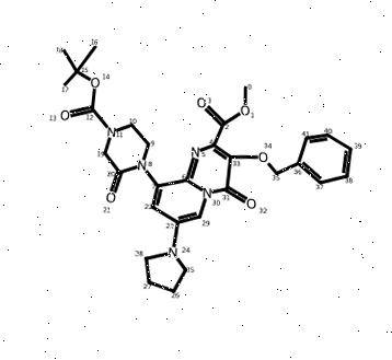 COC(=O)c1nc2c(N3CCN(C(=O)OC(C)(C)C)CC3=O)cc(N3CCCC3)cn2c(=O)c1OCc1ccccc1